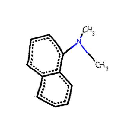 CN(C)c1cccc2[c]cccc12